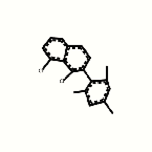 Cc1cc(C)c(-c2ccc3cccc(Cl)c3c2Cl)c(C)c1